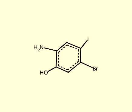 Nc1cc(I)c(Br)cc1O